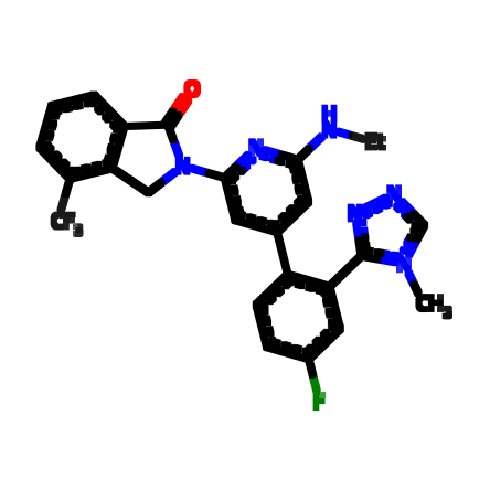 CCNc1cc(-c2ccc(F)cc2-c2nncn2C)cc(N2Cc3c(cccc3C(F)(F)F)C2=O)n1